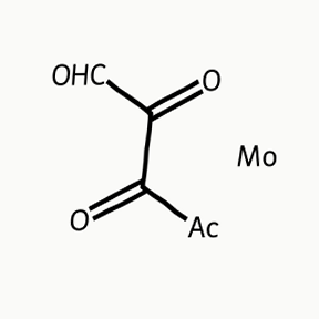 CC(=O)C(=O)C(=O)C=O.[Mo]